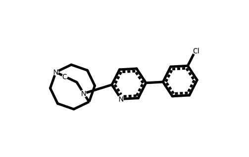 Clc1cccc(-c2ccc(N3CCN4CCCC3CCC4)nc2)c1